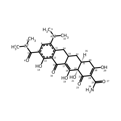 CN(C)C(=O)c1cc(N(C)C)c2c(c1O)C(=O)C1=C(O)[C@]3(O)C(=O)C(C(N)=O)=C(O)C[C@@H]3CC1C2